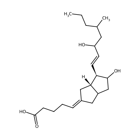 CCCC(C)CC(O)C=C[C@H]1C(O)CC2CC(=CCCCC(=O)O)C[C@@H]21